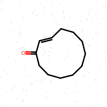 O=C1/C=C/CCCCCCCCC1